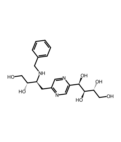 OC[C@@H](O)[C@@H](O)[C@H](O)c1cnc(C[C@H](NCc2ccccc2)[C@H](O)CO)cn1